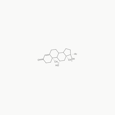 CC(=O)[C@@]1(O)CCC2C3CCC4=CC(=O)CC[C@]4(C)C3[C@@H](O)C[C@@]21C